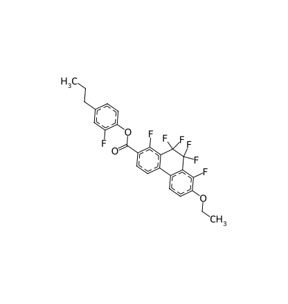 CCCc1ccc(OC(=O)c2ccc3c(c2F)C(F)(F)C(F)(F)c2c-3ccc(OCC)c2F)c(F)c1